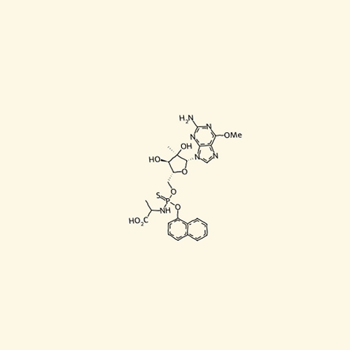 COc1nc(N)nc2c1ncn2[C@@H]1O[C@H](COP(=S)(NC(C)C(=O)O)Oc2cccc3ccccc23)[C@@H](O)[C@@]1(C)O